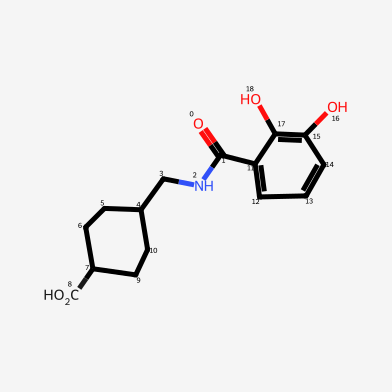 O=C(NCC1CCC(C(=O)O)CC1)c1cccc(O)c1O